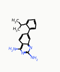 CC(C)c1ccccc1-c1ccc2c(N)nc(N)nc2c1